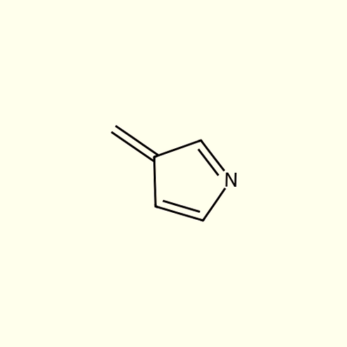 C=C1C=CN=C1